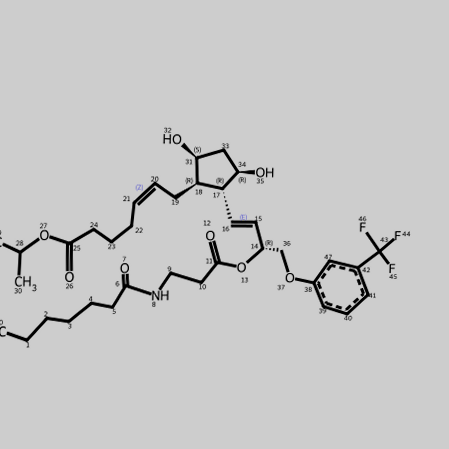 CCCCCCC(=O)NCCC(=O)O[C@H](/C=C/[C@@H]1[C@@H](C/C=C\CCCC(=O)OC(C)C)[C@@H](O)C[C@H]1O)COc1cccc(C(F)(F)F)c1